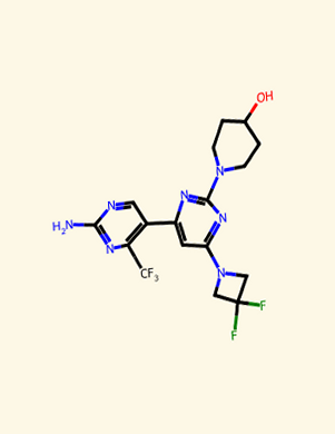 Nc1ncc(-c2cc(N3CC(F)(F)C3)nc(N3CCC(O)CC3)n2)c(C(F)(F)F)n1